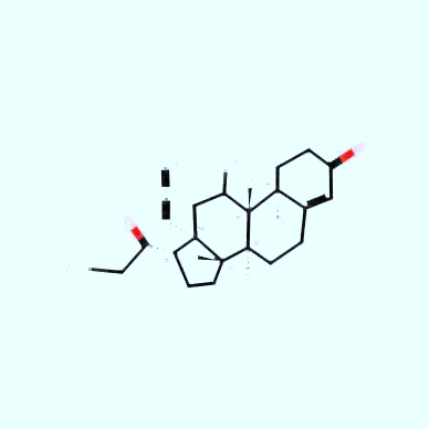 C=C=C[C@]12CC(OC(C)=O)[C@H]3[C@@H](CCC4=CC(=O)CC[C@@]43C)[C@@H]1CC[C@@H]2C(=O)COC(C)=O